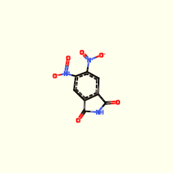 O=C1NC(=O)c2cc([N+](=O)[O-])c([N+](=O)[O-])cc21